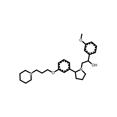 COc1cccc(C(O)CN2CCCC2c2cccc(OCCCN3CCCCC3)c2)c1